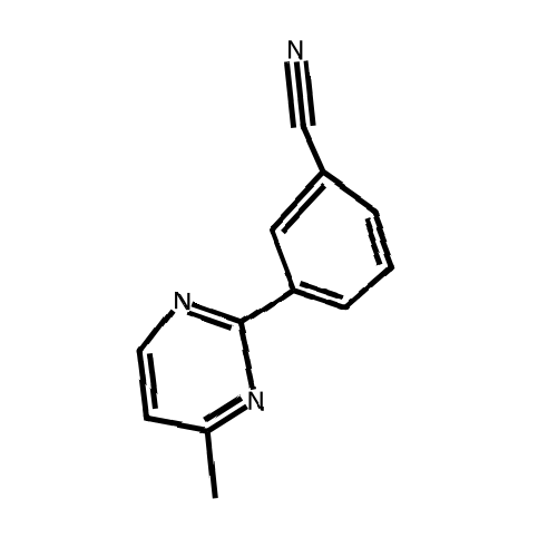 Cc1ccnc(-c2cccc(C#N)c2)n1